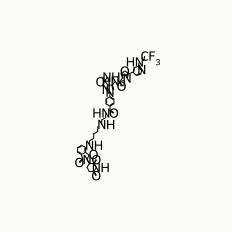 NC(=O)c1nn(-c2ccc(C(=O)NCCNCCCCCNc3cccc4c3C(=O)N(C3CCC(=O)NC3=O)C4=O)cc2)cc1NC(=O)c1coc(-c2ccnc(NCC(F)(F)F)c2)n1